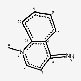 Cn1ccc(=N)c2ccccc21